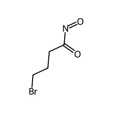 O=NC(=O)CCCBr